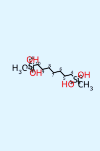 C[Si](O)(O)CCCCCCC[Si](C)(O)O